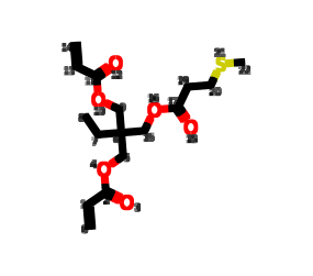 C=CC(=O)OCC(CC)(COC(=O)C=C)COC(=O)CCSC